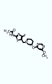 COc1cc(O[C@H]2CCCN(Cc3sc(NC(C)=O)nc3F)C2)ncn1